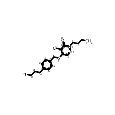 CCCCn1ncc(SCc2ccc(CCCF)cc2)c(Cl)c1=O